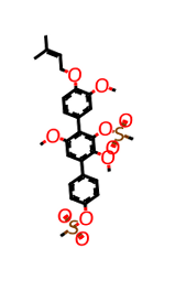 COc1cc(-c2c(OC)cc(-c3ccc(OS(C)(=O)=O)cc3)c(OC)c2OS(C)(=O)=O)ccc1OCC=C(C)C